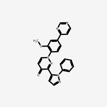 COc1cc(-c2ccncn2)ccc1-n1ccc(=O)c(-c2ccnn2-c2ccccc2)n1